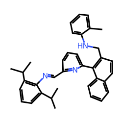 Cc1ccccc1NCc1ccc2ccccc2c1-c1cccc(C=Nc2c(C(C)C)cccc2C(C)C)n1